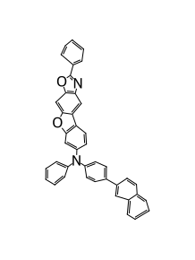 c1ccc(-c2nc3cc4c(cc3o2)oc2cc(N(c3ccccc3)c3ccc(-c5ccc6ccccc6c5)cc3)ccc24)cc1